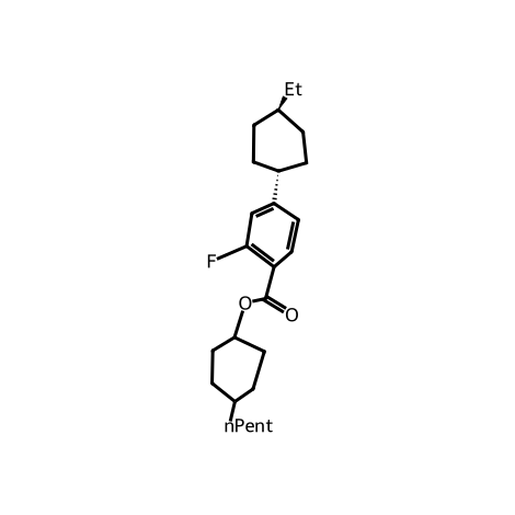 CCCCCC1CCC(OC(=O)c2ccc([C@H]3CC[C@H](CC)CC3)cc2F)CC1